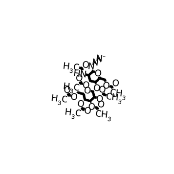 CC(=O)NC1[C@H](N=[N+]=[N-])OC(COC(C)=O)[C@@H](O[C@@H]2OC(COC(C)=O)[C@H](OC(C)=O)[C@H](OC(C)=O)C2OC(C)=O)[C@@H]1OC(C)=O